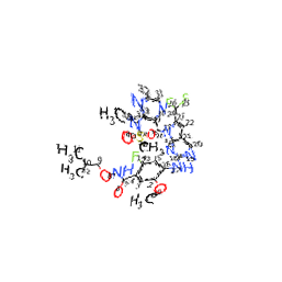 COc1cc(C(=O)NOCC(C)C)c(F)cc1Nc1ncc2cc(C(F)F)n(Cc3nccnc3N(C)S(C)(=O)=O)c2n1